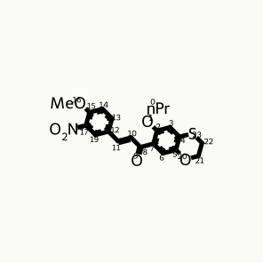 CCCOc1cc2c(cc1C(=O)/C=C/c1ccc(OC)c([N+](=O)[O-])c1)OCCS2